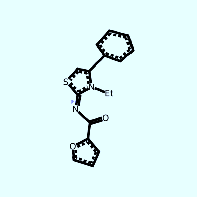 CCn1c(-c2ccccc2)cs/c1=N/C(=O)c1ccco1